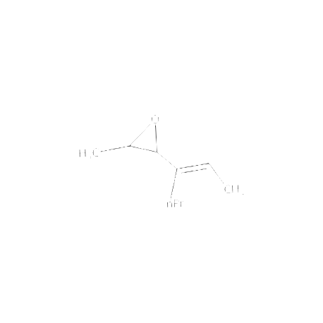 CC=C(CCC)C1OC1C